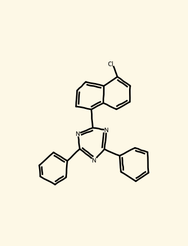 Clc1cccc2c(-c3nc(-c4ccccc4)nc(-c4ccccc4)n3)cccc12